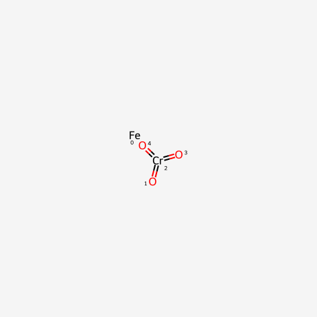 [Fe].[O]=[Cr](=[O])=[O]